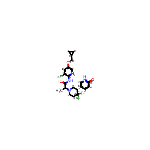 CC(C(=O)Nc1ncc(OCC2CC2)cc1F)N1CCC(F)(F)[C@@H](c2ccc(=O)[nH]c2)C1